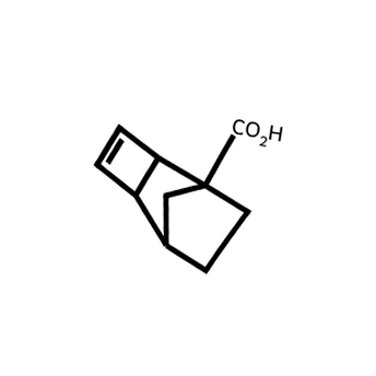 O=C(O)C12CCC(C1)C1C=CC12